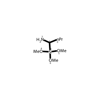 CCCC(N)[Si](OC)(OC)OC